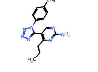 CCCc1nc(N)ncc1-c1nnnn1-c1ccc(C)cc1